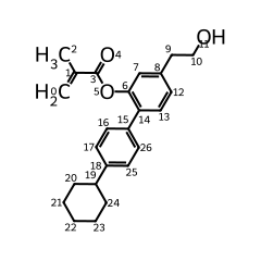 C=C(C)C(=O)Oc1cc(CCO)ccc1-c1ccc(C2CCCCC2)cc1